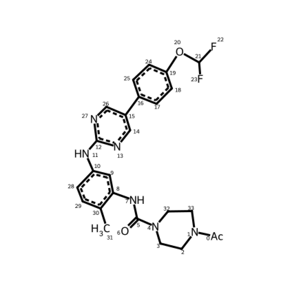 CC(=O)N1CCN(C(=O)Nc2cc(Nc3ncc(-c4ccc(OC(F)F)cc4)cn3)ccc2C)CC1